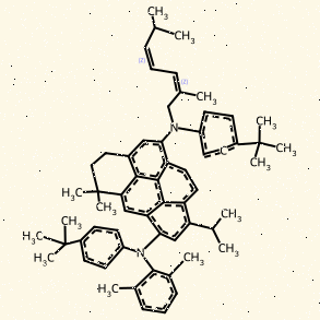 C/C(=C/C=C\C(C)C)CN(c1ccc(C(C)(C)C)cc1)c1cc2c3c(cc4c(N(c5ccc(C(C)(C)C)cc5)c5c(C)cccc5C)cc(C(C)C)c5ccc1c3c54)C(C)(C)CC2